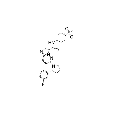 CS(=O)(=O)N1CCC(NC(=O)c2cnc3ccc(N4CCC[C@@H]4c4cccc(F)c4)nn23)CC1